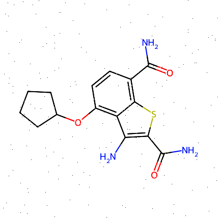 NC(=O)c1sc2c(C(N)=O)ccc(OC3CCCC3)c2c1N